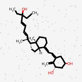 C=C1/C(=C\C=C2/CCC[C@]3(C)[C@@H]([C@@H](C)/C=C/C=C/C(O)(CC)CC)CC[C@@H]23)C[C@@H](O)C[C@@H]1O